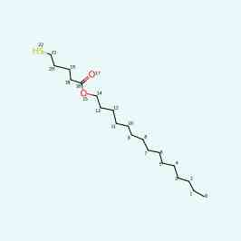 CCCCCCCCCCCCCCCOC(=O)CCCCS